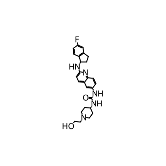 O=C(Nc1ccc2nc(NC3CCc4cc(F)ccc43)ccc2c1)NC1CCN(CCO)CC1